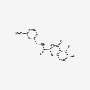 COc1cccc(CNC(=O)c2nc3ccc(F)c(F)c3c(=O)[nH]2)c1